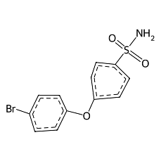 NS(=O)(=O)c1ccc(Oc2ccc(Br)cc2)cc1